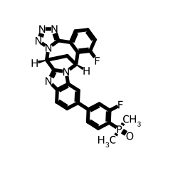 CP(C)(=O)c1ccc(-c2ccc3nc4n(c3c2)[C@@H]2C[C@H]4n3nnnc3-c3cccc(F)c32)cc1F